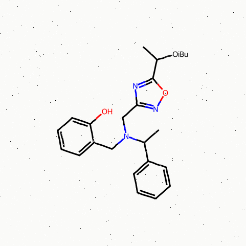 CC(C)COC(C)c1nc(CN(Cc2ccccc2O)C(C)c2ccccc2)no1